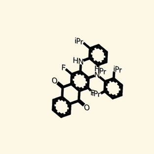 CC(C)c1cccc(C(C)C)c1Nc1c(F)c2c(c(F)c1Nc1c(C(C)C)cccc1C(C)C)C(=O)c1ccccc1C2=O